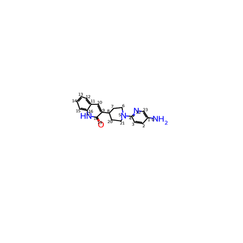 Nc1ccc(N2CCC(c3cc4ccccc4[nH]c3=O)CC2)nc1